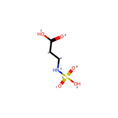 O=C(O)CCNS(=O)(=O)O